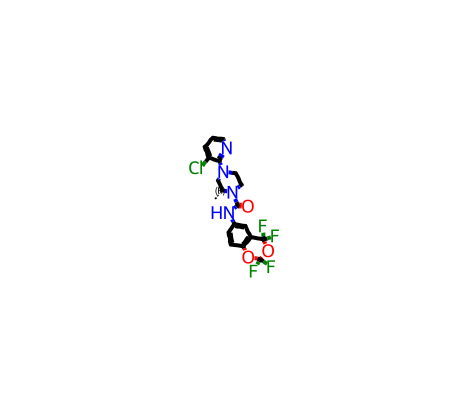 C[C@@H]1CN(c2ncccc2Cl)CCN1C(=O)Nc1ccc2c(c1)C(F)(F)OC(F)(F)O2